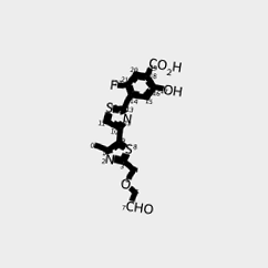 Cc1nc(COCC=O)sc1-c1csc(-c2cc(O)c(C(=O)O)cc2F)n1